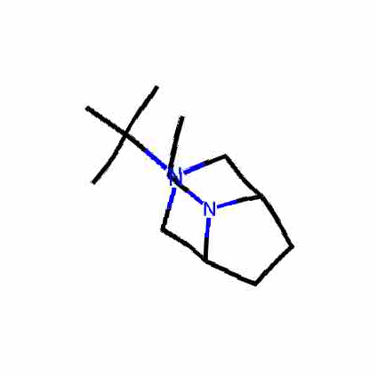 CCN1C2CCC1CN(C(C)(C)C)C2